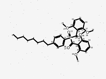 CCCCCCCCc1ccc(P(=O)(C(=O)c2c(OC)cccc2OC)C(=O)c2c(OC)cccc2OC)cc1